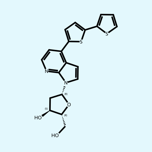 OC[C@H]1O[C@@H](n2ccc3c(-c4ccc(-c5cccs5)s4)ccnc32)C[C@@H]1O